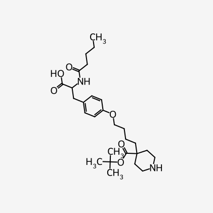 CCCCC(=O)NC(Cc1ccc(OCCCCC2(C(=O)OC(C)(C)C)CCNCC2)cc1)C(=O)O